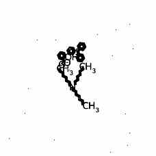 CCCCCCCCN(CCCCCCCC)CCCCCCCC.O=C([O-])c1ccccc1O.c1ccc([S+](c2ccccc2)c2ccccc2)cc1